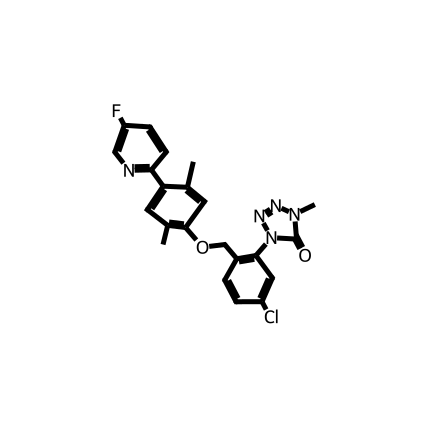 Cc1cc(-c2ccc(F)cn2)c(C)cc1OCc1ccc(Cl)cc1-n1nnn(C)c1=O